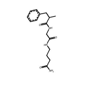 CC(Cc1ccccc1)C(=O)NCC(=O)NCCCC(N)=O